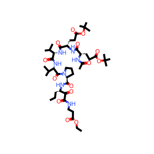 CCC[C@H](NC(=O)[C@@H]1CCCN1C(=O)[C@@H](NC(=O)[C@@H](NC(=O)[C@H](CCC(=O)OC(C)(C)C)NC(=O)[C@H](CCC(=O)OC(C)(C)C)NC(C)=O)C(C)C)C(C)C)C(=O)C(=O)NCCC(=O)OCC